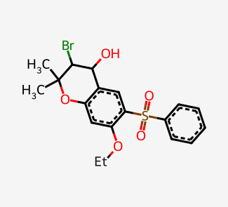 CCOc1cc2c(cc1S(=O)(=O)c1ccccc1)C(O)C(Br)C(C)(C)O2